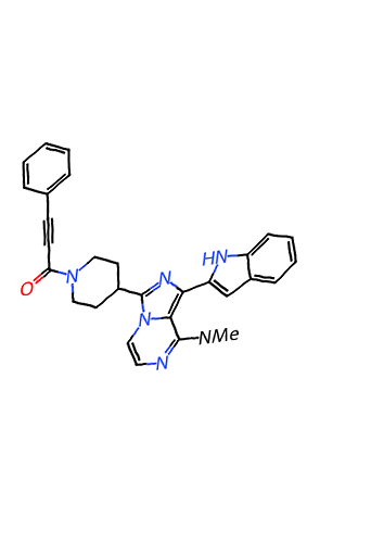 CNc1nccn2c(C3CCN(C(=O)C#Cc4ccccc4)CC3)nc(-c3cc4ccccc4[nH]3)c12